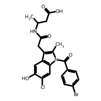 Cc1c(CC(=O)NC(C)CC(=O)O)c2cc(O)c(Cl)cc2n1C(=O)c1ccc(Br)cc1